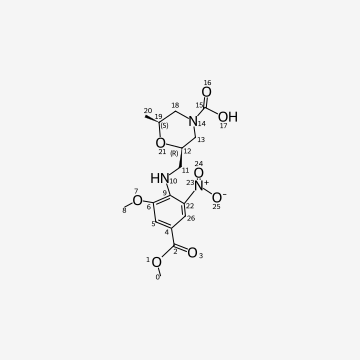 COC(=O)c1cc(OC)c(NC[C@@H]2CN(C(=O)O)C[C@H](C)O2)c([N+](=O)[O-])c1